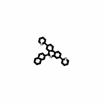 c1ccc(-c2ccc3c(c2)nc(-c2ccc4ccccc4c2)c2cc(-c4ccccn4)ccc23)nc1